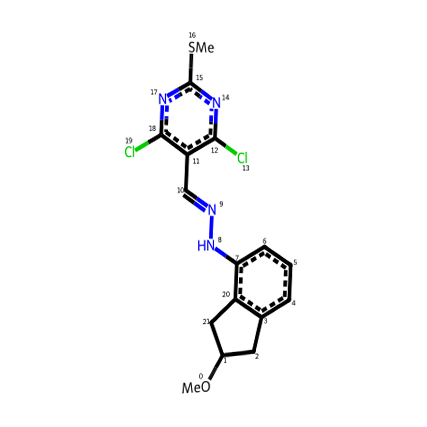 COC1Cc2cccc(N/N=C/c3c(Cl)nc(SC)nc3Cl)c2C1